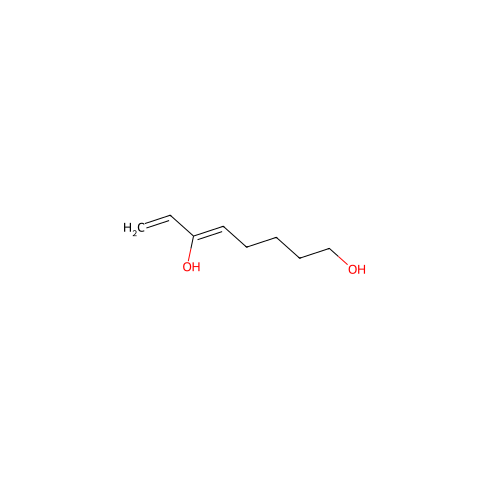 C=CC(O)=CCCCCO